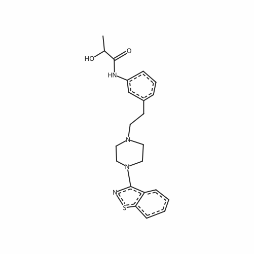 CC(O)C(=O)Nc1cccc(CCN2CCN(c3nsc4ccccc34)CC2)c1